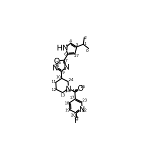 CC(C)c1c[nH]c(-c2nc(C3CCCN(C(=O)c4ccc(F)nc4)C3)no2)c1